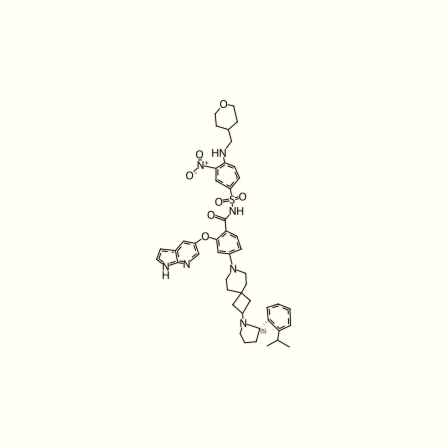 CC(C)c1ccccc1[C@@H]1CCCN1C1CC2(CCN(c3ccc(C(=O)NS(=O)(=O)c4ccc(NCC5CCOCC5)c([N+](=O)[O-])c4)c(Oc4cnc5[nH]ccc5c4)c3)CC2)C1